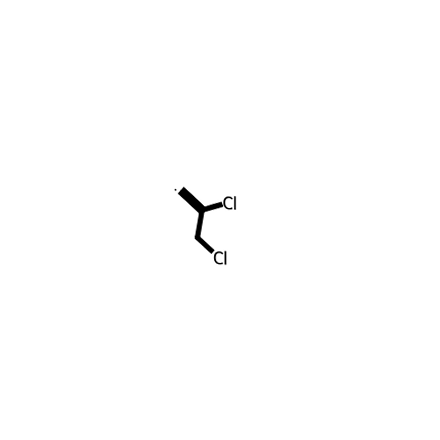 [CH]=C(Cl)CCl